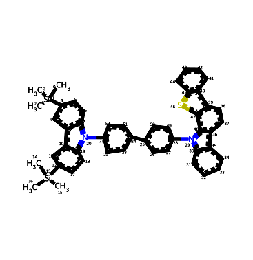 C[Si](C)(C)c1ccc2c(c1)c1cc([Si](C)(C)C)ccc1n2-c1ccc(-c2ccc(-n3c4ccccc4c4ccc5c6ccccc6sc5c43)cc2)cc1